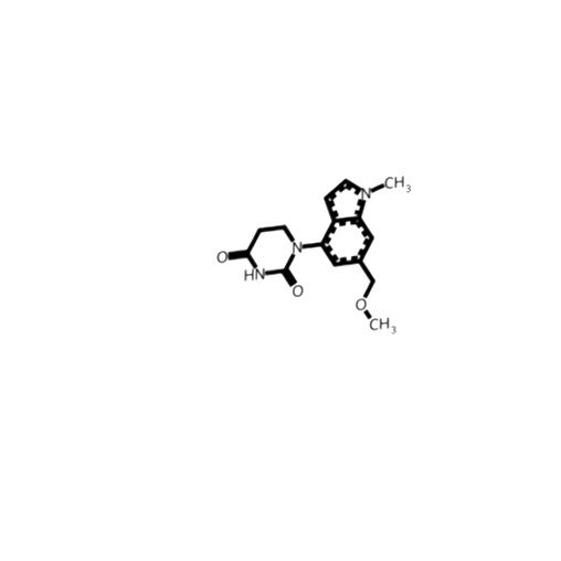 COCc1cc(N2CCC(=O)NC2=O)c2ccn(C)c2c1